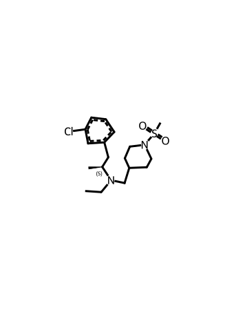 CCN(CC1CCN(S(C)(=O)=O)CC1)[C@@H](C)Cc1cccc(Cl)c1